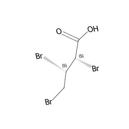 O=C(O)[C@H](Br)[C@@H](Br)CBr